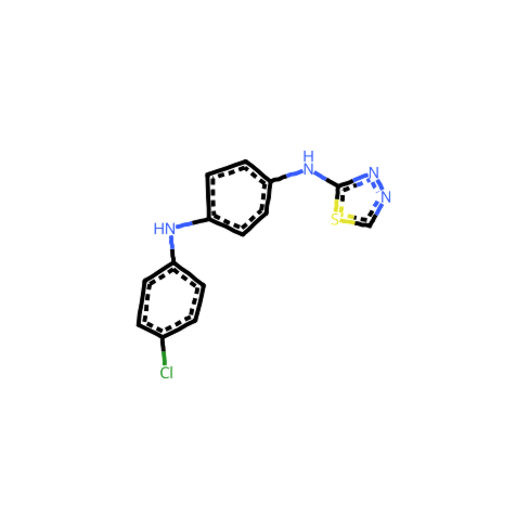 Clc1ccc(Nc2ccc(Nc3nncs3)cc2)cc1